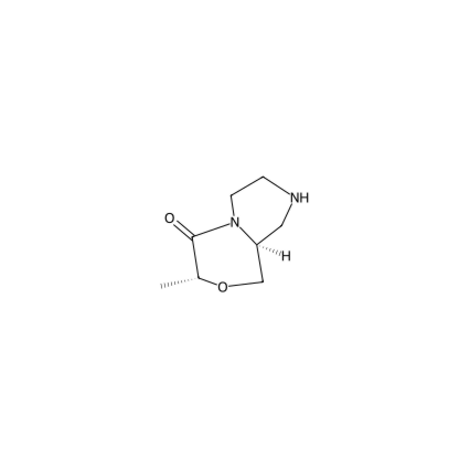 C[C@H]1OC[C@@H]2CNCCN2C1=O